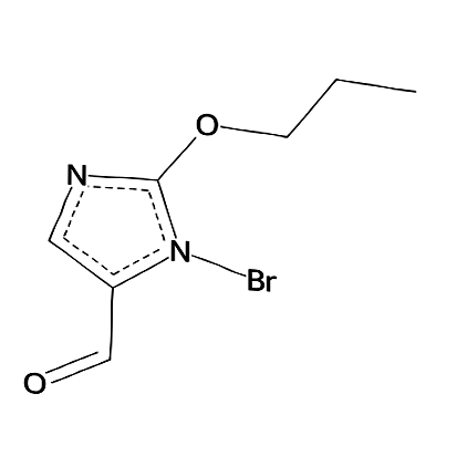 CCCOc1ncc(C=O)n1Br